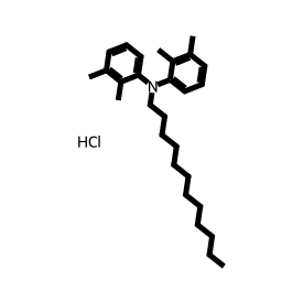 CCCCCCCCCCCCN(c1cccc(C)c1C)c1cccc(C)c1C.Cl